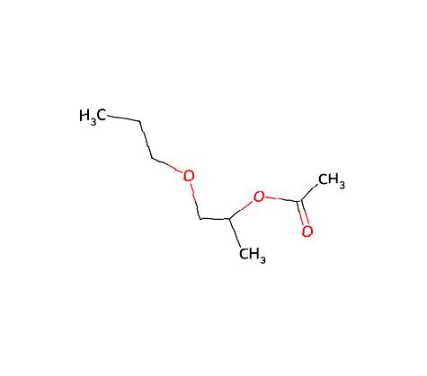 CCCOCC(C)OC(C)=O